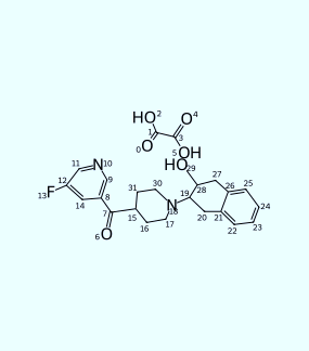 O=C(O)C(=O)O.O=C(c1cncc(F)c1)C1CCN(C2Cc3ccccc3CC2O)CC1